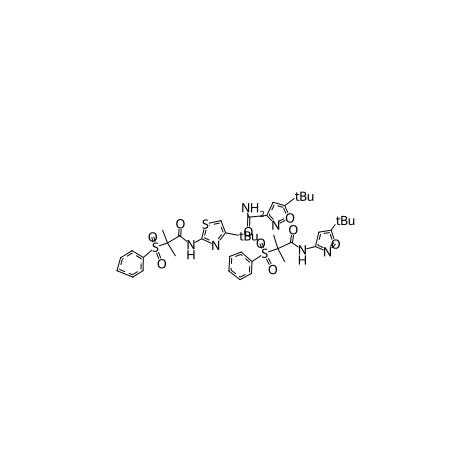 CC(C)(C)c1cc(C(N)=O)no1.CC(C)(C)c1cc(NC(=O)C(C)(C)S(=O)(=O)c2ccccc2)no1.CC(C)(C)c1csc(NC(=O)C(C)(C)S(=O)(=O)c2ccccc2)n1